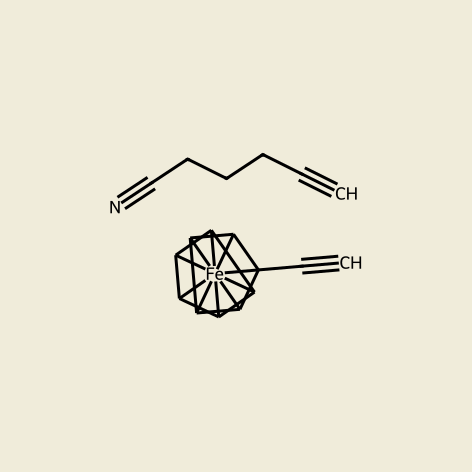 C#CCCCC#N.C#C[C]12[CH]3[CH]4[CH]5[CH]1[Fe]45321678[CH]2[CH]1[CH]6[CH]7[CH]28